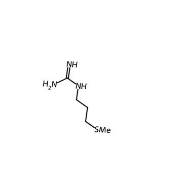 CSCCCNC(=N)N